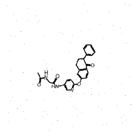 CC(=O)NCC(=O)Nc1ccc(Oc2ccc3c(c2)CCC(c2ccccc2)C3=O)nc1